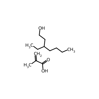 C=C(C)C(=O)O.CCCCC(CC)CCO